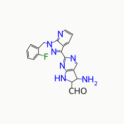 NC1c2cnc(-c3nn(Cc4ccccc4F)c4ncccc34)nc2NC1C=O